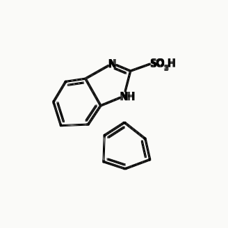 O=S(=O)(O)c1nc2ccccc2[nH]1.c1ccccc1